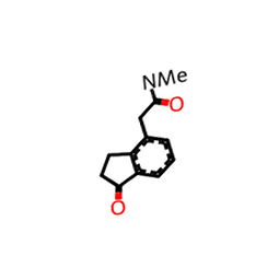 CNC(=O)Cc1cccc2c1CCC2=O